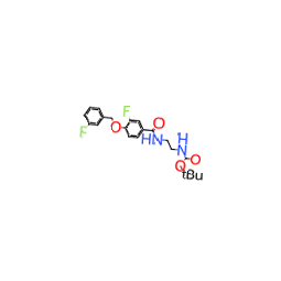 CC(C)(C)OC(=O)NCCNC(=O)c1ccc(OCc2cccc(F)c2)c(F)c1